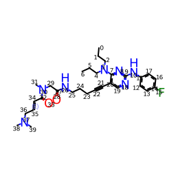 CCCN(CCC)c1nc(Nc2ccc(F)cc2)ncc1C#CCCCNC(=O)CN(C)C(=O)/C=C/CN(C)C